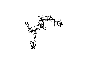 CC(C)(C)OC(=O)NCCON=C(C(=O)NC1C(=O)N2CC(CSc3nnc(CNC(=O)OC(C)(C)C)s3)(C(=O)O)CS[C@H]12)c1csc(NC=O)n1